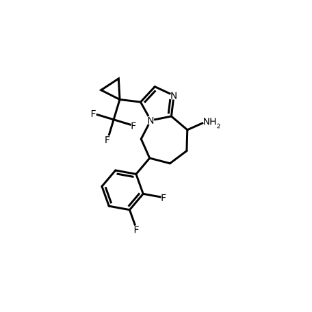 NC1CCC(c2cccc(F)c2F)Cn2c(C3(C(F)(F)F)CC3)cnc21